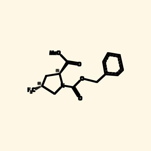 COC(=O)[C@@H]1C[C@@H](C(F)(F)F)CN1C(=O)OCc1ccccc1